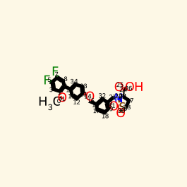 COc1cc(F)c(F)cc1-c1ccc(OCc2cccc(CN3[C@@H](C(=O)O)CCS3(=O)=O)c2)cc1